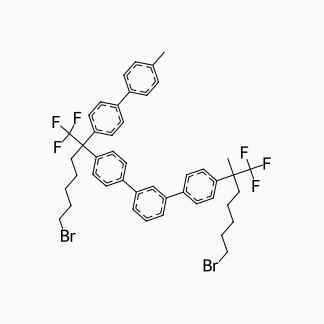 Cc1ccc(-c2ccc(C(CCCCCBr)(c3ccc(-c4cccc(-c5ccc(C(C)(CCCCCBr)C(F)(F)F)cc5)c4)cc3)C(F)(F)F)cc2)cc1